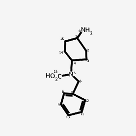 NC1CCC(N(Cc2ccccc2)C(=O)O)CC1